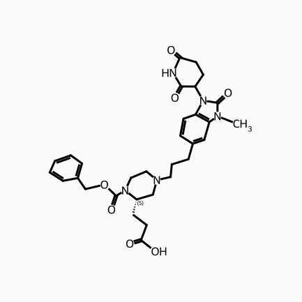 Cn1c(=O)n(C2CCC(=O)NC2=O)c2ccc(CCCN3CCN(C(=O)OCc4ccccc4)[C@@H](CCC(=O)O)C3)cc21